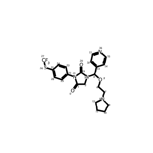 O=C1CN(C(OCCN2CCCC2)c2ccncc2)C(=O)N1c1ccc(SC(F)(F)F)cc1